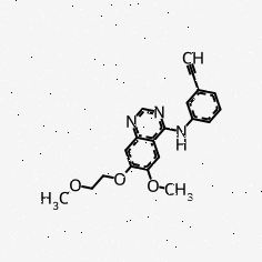 C#Cc1cccc(Nc2ncnc3cc(OCCOC)c(OC)cc23)c1